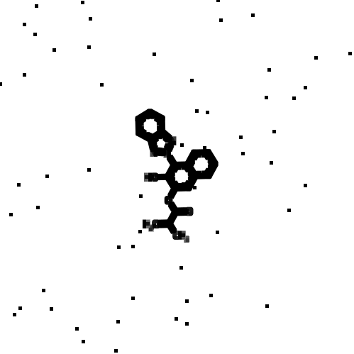 C=C(C)C(=O)Oc1cc2ccccc2c(-n2nc3ccccc3n2)c1O